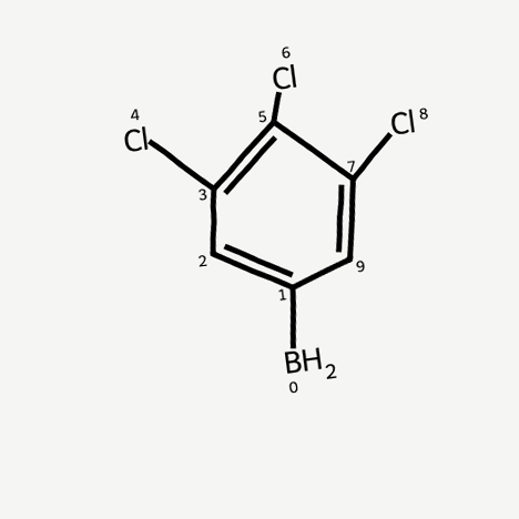 Bc1cc(Cl)c(Cl)c(Cl)c1